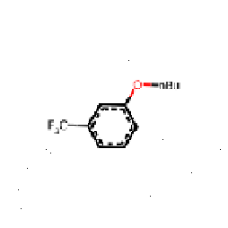 CC[CH]COc1cccc(C(F)(F)F)c1